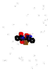 O=C1c2ccccc2C(=O)N1CCc1c(Br)c2ccccc2c[n+]1[O-]